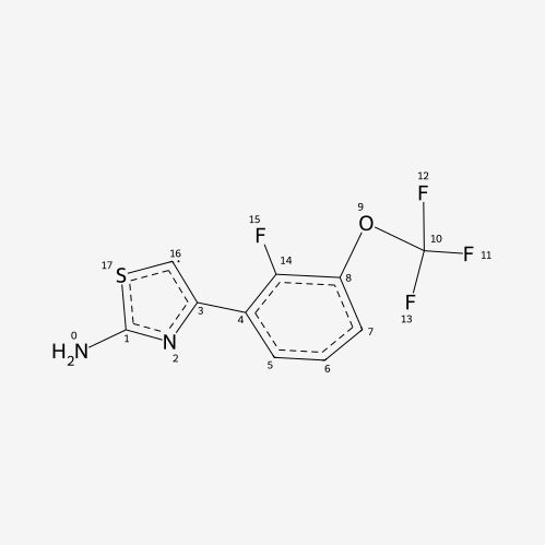 Nc1nc(-c2cccc(OC(F)(F)F)c2F)[c]s1